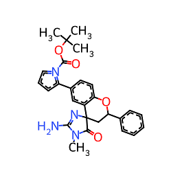 CN1C(=O)C2(CC(c3ccccc3)Oc3ccc(-c4cccn4C(=O)OC(C)(C)C)cc32)N=C1N